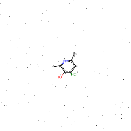 CCc1ccc(O)c(C)n1.Cl